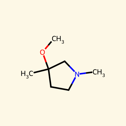 COC1(C)CCN(C)C1